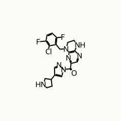 O=C(c1cnc2c(n1)N(Cc1c(F)ccc(F)c1Cl)CCN2)n1cc(C2CCNC2)cn1